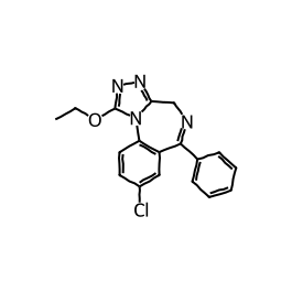 CCOc1nnc2n1-c1ccc(Cl)cc1C(c1ccccc1)=NC2